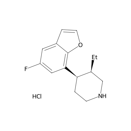 CC[C@H]1CNCC[C@H]1c1cc(F)cc2ccoc12.Cl